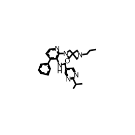 CCCN1CC2(C1)CN(c1nccc(-c3ccccc3)c1NC(=O)c1cnc(C(C)C)nc1)C2